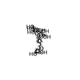 O=C(C=Cc1ccc(OC2OC(CO)C(O)C(O)C2OC2OCC(O)(CO)C2O)cc1)c1ccc(O)cc1O